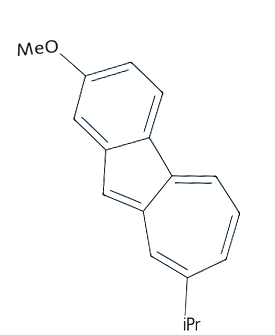 COc1ccc2c3cccc(C(C)C)cc-3cc2c1